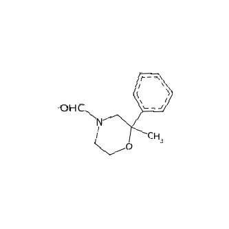 CC1(c2ccccc2)CN([C]=O)CCO1